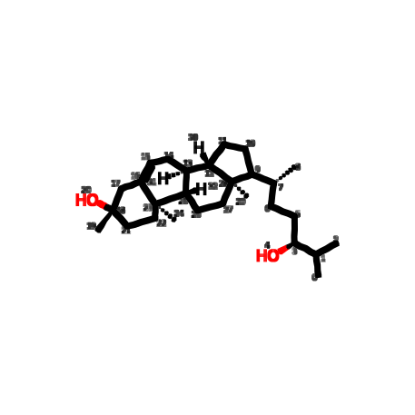 CC(C)[C@@H](O)CC[C@@H](C)C1CC[C@H]2[C@@H]3CC=C4C[C@@](C)(O)CC[C@]4(C)[C@H]3CC[C@]12C